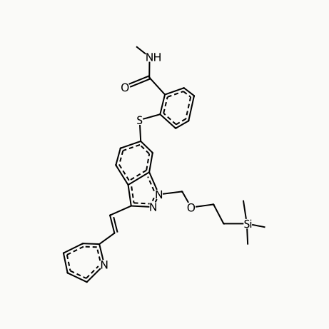 CNC(=O)c1ccccc1Sc1ccc2c(C=Cc3ccccn3)nn(COCC[Si](C)(C)C)c2c1